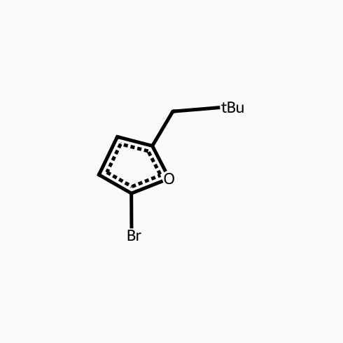 CC(C)(C)Cc1ccc(Br)o1